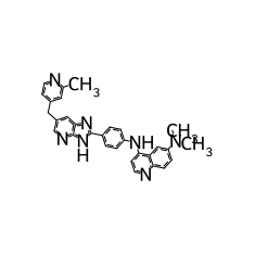 Cc1cc(Cc2cnc3[nH]c(-c4ccc(Nc5ccnc6ccc(N(C)C)cc56)cc4)nc3c2)ccn1